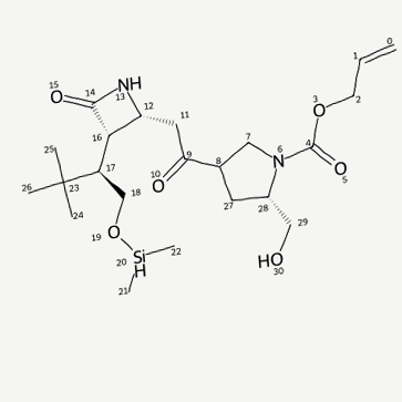 C=CCOC(=O)N1CC(C(=O)C[C@H]2NC(=O)[C@H]2[C@@H](CO[SiH](C)C)C(C)(C)C)C[C@H]1CO